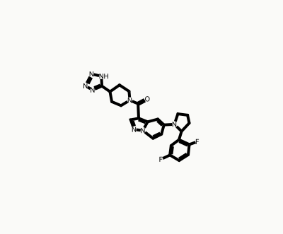 O=C(c1cnn2ccc(N3CCCC3c3cc(F)ccc3F)cc12)N1CCC(c2nnn[nH]2)CC1